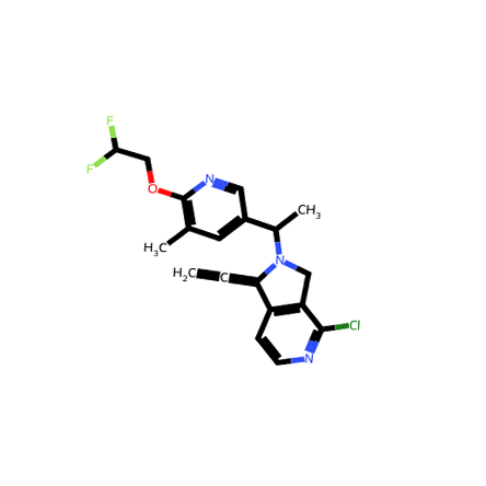 C=C=C1c2ccnc(Cl)c2CN1C(C)c1cnc(OCC(F)F)c(C)c1